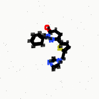 O=C1CCC(c2ccc(Cn3ccnc3)s2)=NN1c1ccccc1